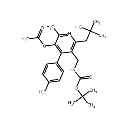 CC(=O)Oc1c(C)nc(CC(C)(C)C)c(CNC(=O)OC(C)(C)C)c1-c1ccc(C)cc1